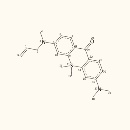 C=CCN(C)c1ccc2c(c1)S(C)(C)c1cc(N(C)C)ccc1C2=O